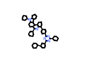 c1ccc(-c2cccc(-c3nc(-c4ccccc4)nc(-c4ccc(-c5cccc6c5nc(-c5ccccc5)c5ccc7c(c8ccccc8n7-c7ccccc7)c56)cc4)n3)c2)cc1